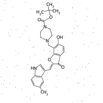 Cc1ccc2[nH]cc(/C=C3\Oc4c(ccc(O)c4CN4CCN(C(=O)OC(C)(C)C)CC4)C3=O)c2c1